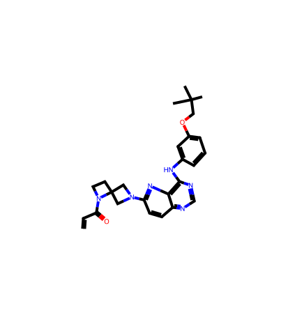 C=CC(=O)N1CCC12CN(c1ccc3ncnc(Nc4cccc(OCC(C)(C)C)c4)c3n1)C2